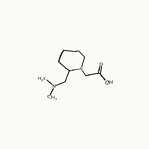 CN(C)CC1CCCCN1CC(=O)O